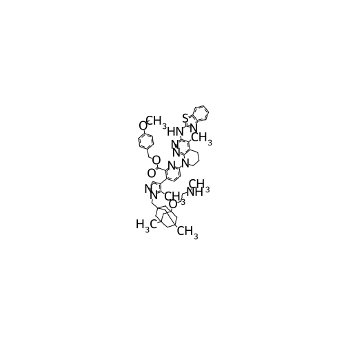 CNCCOC12CC3(C)CC(C)(CC(Cn4ncc(-c5ccc(N6CCCc7c6nnc(Nc6nc8ccccc8s6)c7C)nc5C(=O)OCc5ccc(OC)cc5)c4C)(C3)C1)C2